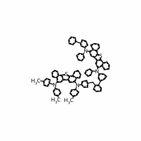 Cc1ccc(N(c2ccc(C)cc2)c2cc3c4cc(N(c5ccc(C)cc5)c5ccc(Cc6ccccc6-c6cccc(N(c7ccccc7)c7cc8c9cc(N(c%10ccccc%10)c%10cccc(-c%11ccccc%11)c%10)c%10ccccc%10c9sc8c8ccccc78)c6)cc5)c5ccccc5c4sc3c3ccccc23)cc1